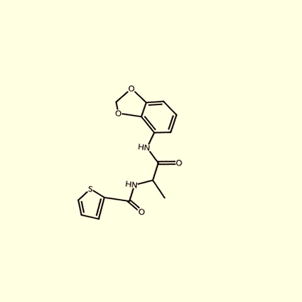 CC(NC(=O)c1cccs1)C(=O)Nc1cccc2c1OCO2